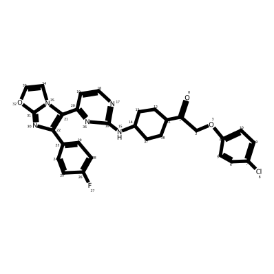 O=C(COc1ccc(Cl)cc1)C1CCC(Nc2nccc(-c3c(-c4ccc(F)cc4)nc4occn34)n2)CC1